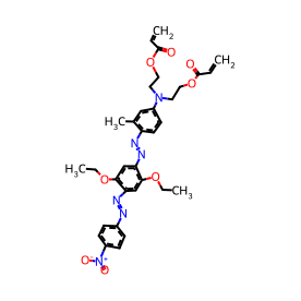 C=CC(=O)OCCN(CCOC(=O)C=C)c1ccc(/N=N/c2cc(OCC)c(/N=N/c3ccc([N+](=O)[O-])cc3)cc2OCC)c(C)c1